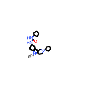 CCCn1c2c(c3cc(NC(=O)NC4CCCC4)ccc31)CN(C1CCCC1)CC2